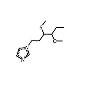 CCC(OC)C(CCn1ccnc1)SC